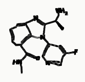 CNC(=O)c1cccc2nc([C@H](C)N)n(-c3cncc(F)c3)c12